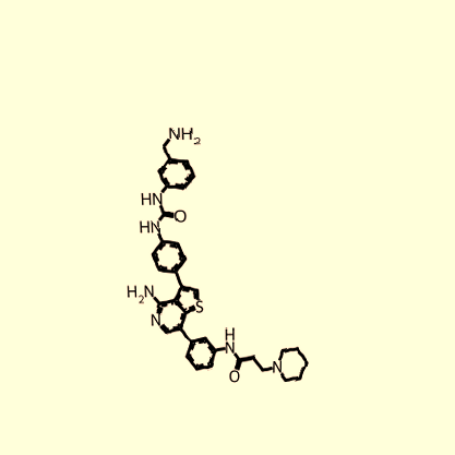 NCc1cccc(NC(=O)Nc2ccc(-c3csc4c(-c5cccc(NC(=O)CCN6CCCCC6)c5)cnc(N)c34)cc2)c1